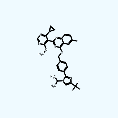 COc1ncnc(C2CC2)c1-c1nc(OCc2ccc(-c3nc(C(F)(F)F)cn3C(C)C)cc2)c2cc(F)ccc2n1